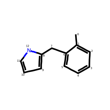 Cc1ccccc1CC1=CC=C[N]1